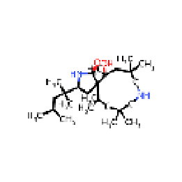 CC(C)CC(C)(C)C1CC2(C(=O)N1)C(C)(C)CC(C)(C)CNCC(C)(C)CC2(C)O